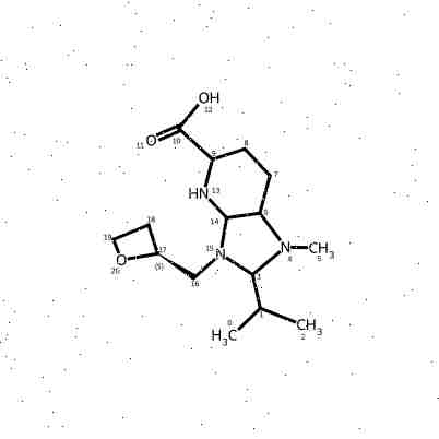 CC(C)C1N(C)C2CCC(C(=O)O)NC2N1C[C@@H]1CCO1